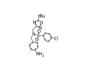 CC(C)(C)c1nc(CN(Cc2ccc(N)cc2)S(=O)(=O)c2ccc(Cl)cc2)no1